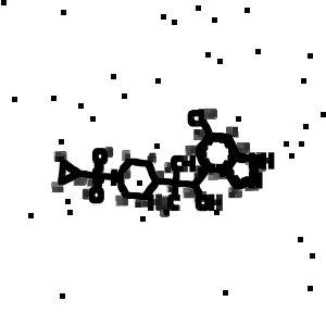 CC(C)(C1CCN(S(=O)(=O)C2CC2)CC1)C(O)c1cc(Cl)cc2[nH]ncc12